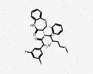 CSCC[C@H](N)C(=O)N(C(=O)Cc1cc(F)cc(F)c1)[C@@H]1C(=O)Nc2ccccc2S[C@@H]1c1ccccc1